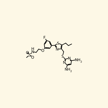 CCCc1sc(-c2cc(F)cc(OCCNS(C)(=O)=O)c2)nc1CSc1nc(N)cc(N)n1